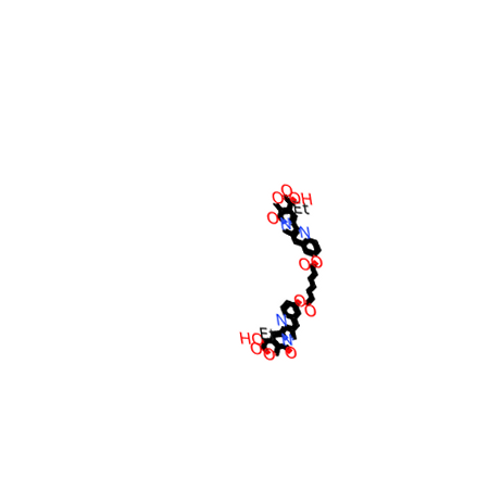 CCC1(O)C(=O)OCc2c1cc1n(c2=O)Cc2cc3cc(OC(=O)CCCCCC(=O)Oc4ccc5nc6c(cc5c4)Cn4c-6cc5c(c4=O)COC(=O)C5(O)CC)ccc3nc2-1